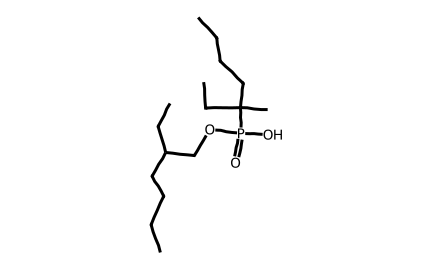 CCCCC(CC)COP(=O)(O)C(C)(CC)CCCC